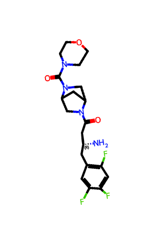 N[C@@H](CC(=O)N1CC2CC1CN2C(=O)N1CCOCC1)Cc1cc(F)c(F)cc1F